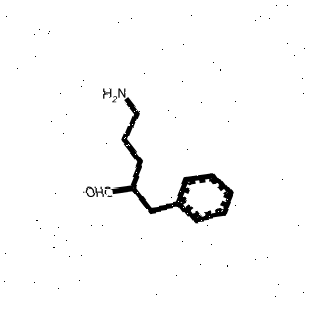 NCCCC([C]=O)Cc1ccccc1